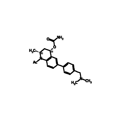 CC(=O)N1c2ccc(-c3ccc(CN(C)C)cc3)cc2[C@@H](OC(N)=O)C[C@H]1C